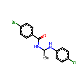 CC(C)(C)C(NC(=O)c1ccc(Br)cc1)Nc1ccc(Cl)cc1